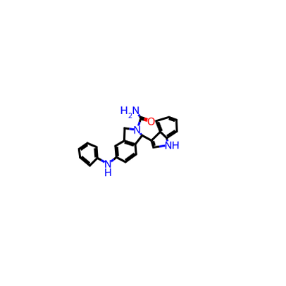 NC(=O)N1Cc2cc(Nc3ccccc3)ccc2C1c1c[nH]c2ccccc12